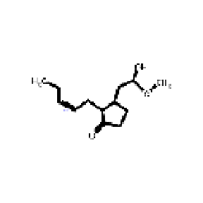 CC/C=C\CC1C(=O)CCC1CC(O)OC